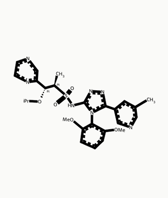 COc1cccc(OC)c1-n1c(NS(=O)(=O)[C@H](C)[C@H](OC(C)C)c2cnccn2)nnc1-c1cncc(C)c1